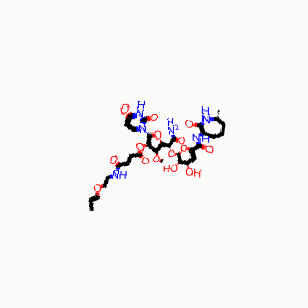 CCCOCCNC(=O)CCC(=O)O[C@@H]1[C@H](OC)[C@@H]([C@@H](O[C@H]2OC(C(=O)NC3CCC[C@@H](C)NC3=O)=C[C@H](O)[C@@H]2O)C(N)=O)O[C@H]1n1ccc(=O)[nH]c1=O